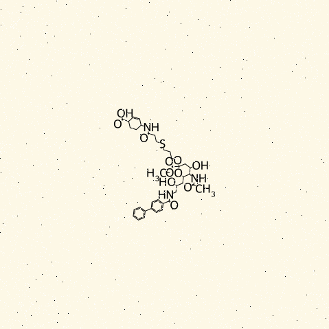 COC(=O)C1(OCCCSCCC(=O)NC2C=CC(C(=O)O)CC2)CC(O)C(NC(C)=O)C(CC(O)CNC(=O)c2ccc(-c3ccccc3)cc2)O1